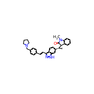 CN1C(=O)[C@@]2(C[C@H]2c2ccc3c(/C=C/c4ccc(CN5CCCC5)cc4)n[nH]c3c2)c2ccccc21